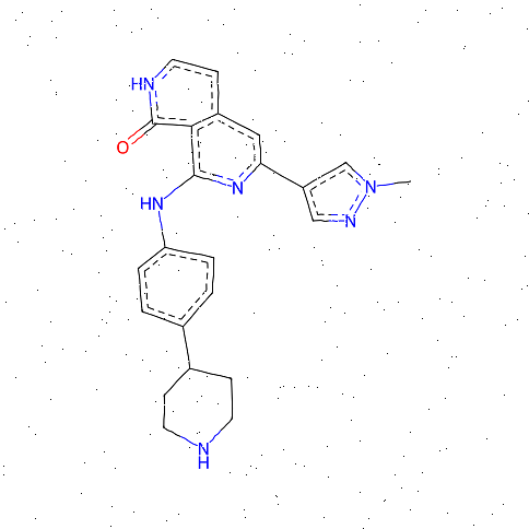 Cn1cc(-c2cc3cc[nH]c(=O)c3c(Nc3ccc(C4CCNCC4)cc3)n2)cn1